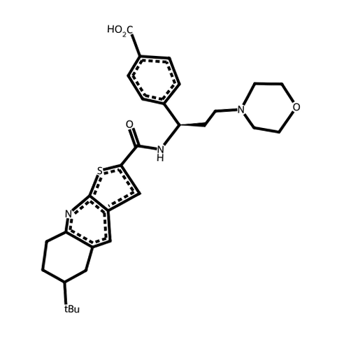 CC(C)(C)C1CCc2nc3sc(C(=O)N[C@H](CCN4CCOCC4)c4ccc(C(=O)O)cc4)cc3cc2C1